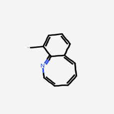 [CH2]c1cccc2c1=NC=CC=CC=2